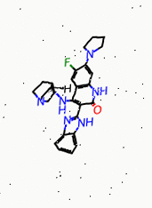 O=c1[nH]c2cc(N3CCCC3)c(F)cc2c(N[C@@H]2CN3CCC2CC3)c1-c1nc2ccccc2[nH]1